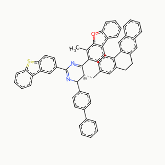 Cc1c(C2=NC(c3ccc4sc5ccccc5c4c3)=NC(c3ccc(-c4ccccc4)cc3)[C@H]2Cc2ccc3c(c2)CCc2cc4ccccc4cc2-3)ccc2c1oc1ccccc12